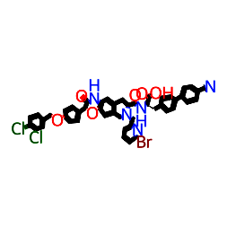 N#Cc1ccc(-c2ccc(C[C@H](NC(=O)C3Cc4cc5c(cc4CN3Cc3cccc(Br)n3)OC(c3ccc(OCc4ccc(Cl)c(Cl)c4)cc3)C(=O)N5)C(=O)O)cc2)cc1